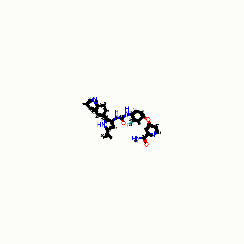 CNC(=O)c1cc(Oc2ccc(NC(=O)Nc3cc(C(C)C)[nH]c3-c3ccc4ncccc4c3)c(F)c2)ccn1